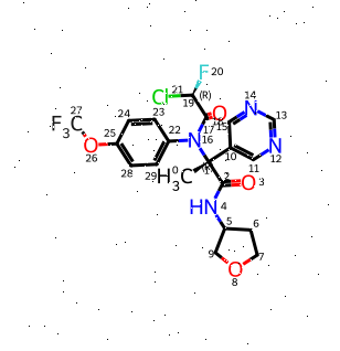 C[C@](C(=O)NC1CCOC1)(c1cncnc1)N(C(=O)[C@H](F)Cl)c1ccc(OC(F)(F)F)cc1